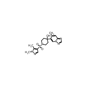 Cc1cc2ncnn2cc1C1(O)CCN(S(=O)(=O)c2cnn(C)c2C)CC1